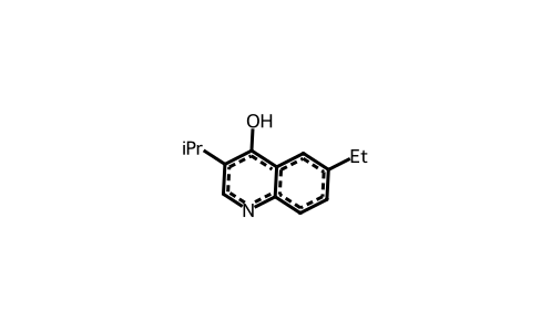 CCc1ccc2ncc(C(C)C)c(O)c2c1